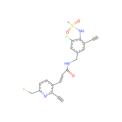 C#Cc1cc(CNC(=O)/C=C/c2ccc(CF)nc2C#C)cc(F)c1NS(C)(=O)=O